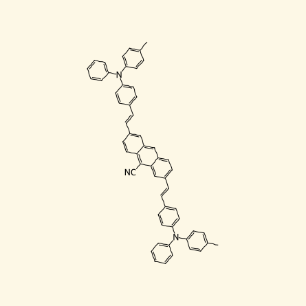 Cc1ccc(N(c2ccccc2)c2ccc(C=Cc3ccc4c(C#N)c5cc(C=Cc6ccc(N(c7ccccc7)c7ccc(C)cc7)cc6)ccc5cc4c3)cc2)cc1